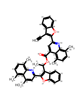 C#Cc1c(-c2cc(C(=O)OC(C)c3c(-c4cc(C(=O)O)c5c(C)ccc(C)c5n4)oc4ccccc34)c3c(C)ccc(C)c3n2)oc2ccccc12